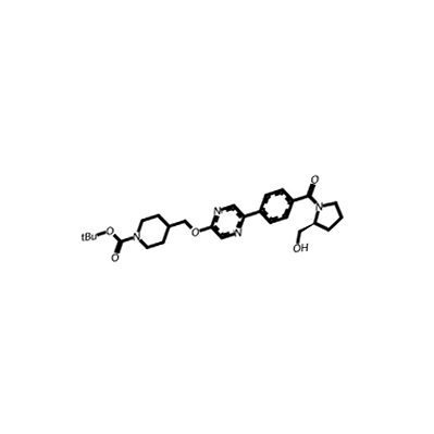 CC(C)(C)OC(=O)N1CCC(COc2cnc(-c3ccc(C(=O)N4CCC[C@H]4CO)cc3)cn2)CC1